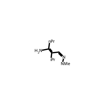 CCC/C(N)=C(\C=N/NC)C(C)C